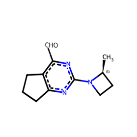 C[C@H]1CCN1c1nc(C=O)c2c(n1)CCC2